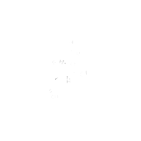 CSCC[C@H](NC(C)=O)C(=O)NCC(=O)O